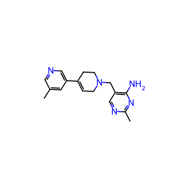 Cc1cncc(C2=CCN(Cc3cnc(C)nc3N)CC2)c1